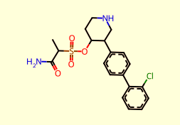 CC(C(N)=O)S(=O)(=O)OC1CCNCC1c1ccc(-c2ccccc2Cl)cc1